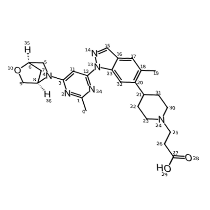 Cc1nc(N2C[C@H]3C[C@@H]2CO3)cc(-n2ncc3cc(C)c(C4CCN(CCC(=O)O)CC4)cc32)n1